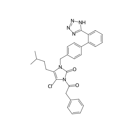 CC(C)CCc1c(Cl)n(C(=O)Cc2ccccc2)c(=O)n1Cc1ccc(-c2ccccc2-c2nnn[nH]2)cc1